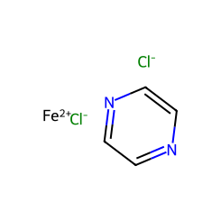 [Cl-].[Cl-].[Fe+2].c1cnccn1